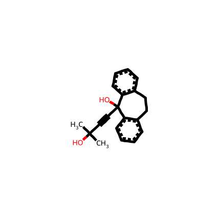 CC(C)(O)C#CC1(O)c2ccccc2CCc2ccccc21